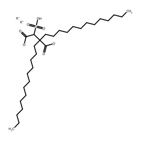 CCCCCCCCCCCCCC(CCCCCCCCCCCCC)(C(=O)[O-])C(C(=O)[O-])S(=O)(=O)O.[K+].[K+]